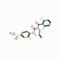 C=CCN(C(=O)c1c(F)cccc1F)C(=O)N(C)c1ccc([S@@+]([O-])C(F)(F)F)cc1F